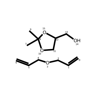 C=CCOCC=C.CC1(C)OCC(CO)O1